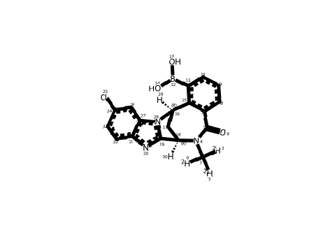 [2H]C([2H])([2H])N1C(=O)c2cccc(B(O)O)c2[C@H]2C[C@@H]1c1nc3ccc(Cl)cc3n12